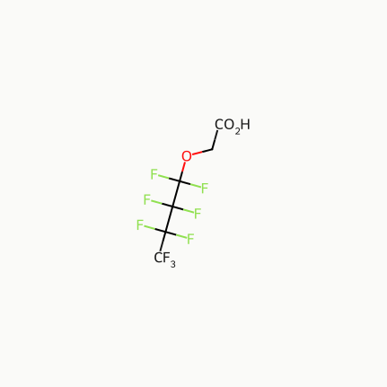 O=C(O)COC(F)(F)C(F)(F)C(F)(F)C(F)(F)F